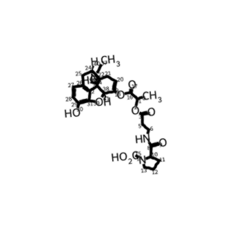 CC(OC(=O)CCNC(=O)C1CCCN1C(=O)O)C(=O)OC1=CC[C@@]2(O)[C@H]3Cc4ccc(O)c5c4[C@@]2(CCN3C)[C@H]1O5